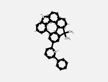 CC1(C)c2cc(-c3cccc(-c4ccccc4)n3)cc3c2-c2c1ccc1ccc4oc5cccc-3c5c4c21